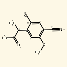 COc1cc(C(C)C(=O)O)c(Cl)cc1C#N